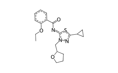 CCOc1ccccc1C(=O)/N=c1\sc(C2CC2)nn1CC1CCCO1